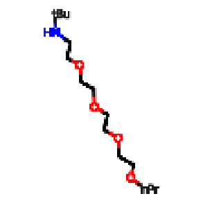 CCCOCCOCCOCCOCCNC(C)(C)C